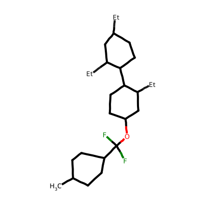 CCC1CCC(C2CCC(OC(F)(F)C3CCC(C)CC3)CC2CC)C(CC)C1